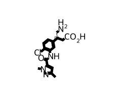 Cc1cc(C(=O)Nc2cc([C@H](CN)CC(=O)O)ccc2Cl)n(C)n1